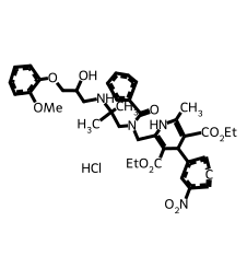 CCOC(=O)C1=C(C)NC(CN(CC(C)(C)NCC(O)COc2ccccc2OC)C(=O)c2ccccc2)=C(C(=O)OCC)C1c1cccc([N+](=O)[O-])c1.Cl